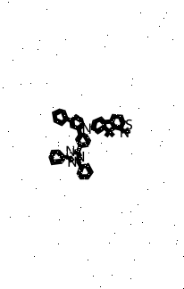 CC1(C)c2cc(-n3c4ccc(-c5ccccc5)cc4c4cc(-c5nc(-c6ccccc6)nc(-c6ccccc6)n5)ccc43)ccc2-c2ccc3scnc3c21